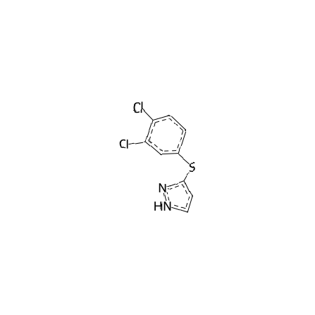 Clc1ccc(Sc2cc[nH]n2)cc1Cl